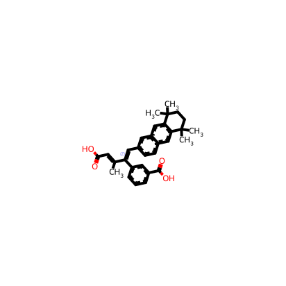 CC(=CC(=O)O)/C(=C/c1ccc2cc3c(cc2c1)C(C)(C)CCC3(C)C)c1cccc(C(=O)O)c1